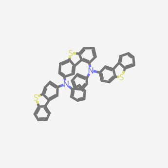 c1ccc(N(c2ccc3sc4ccccc4c3c2)c2ccc3sc4cccc(N(c5ccccc5)c5ccc6sc7ccccc7c6c5)c4c3c2)cc1